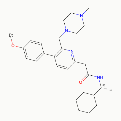 CCOc1ccc(-c2ccc(CC(=O)N[C@H](C)C3CCCCC3)nc2CN2CCN(C)CC2)cc1